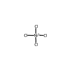 [Cl][Ni-2]([Cl])([Cl])[Cl]